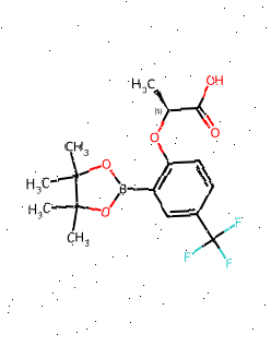 C[C@H](Oc1ccc(C(F)(F)F)cc1B1OC(C)(C)C(C)(C)O1)C(=O)O